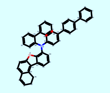 C1=Cc2ccc3oc4c(N(c5ccc(-c6ccc(-c7ccccc7)cc6)cc5)c5ccccc5-c5ccccc5)cccc4c3c2CC1